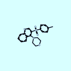 Cc1ccc(S(=O)(=O)c2cnc3ccccc3c2N2CCOCC2)cc1